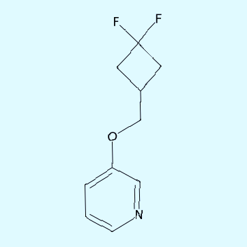 FC1(F)CC(COc2cccnc2)C1